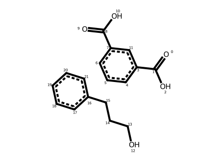 O=C(O)c1cccc(C(=O)O)c1.OCCCc1ccccc1